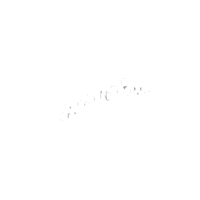 COC(=O)c1ccc2c(ccn2Cc2ccc(OCc3ccc4ccccc4n3)cc2)c1